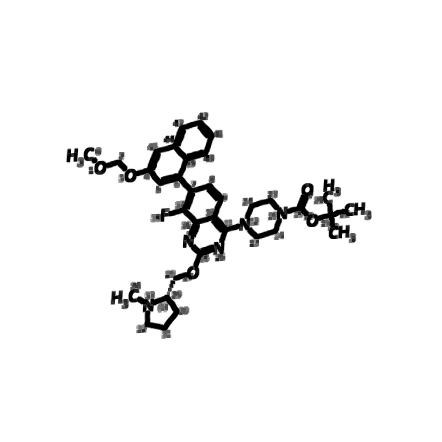 COCOc1cc(-c2ccc3c(N4CCN(C(=O)OC(C)(C)C)CC4)nc(OC[C@@H]4CCCN4C)nc3c2F)c2ccccc2c1